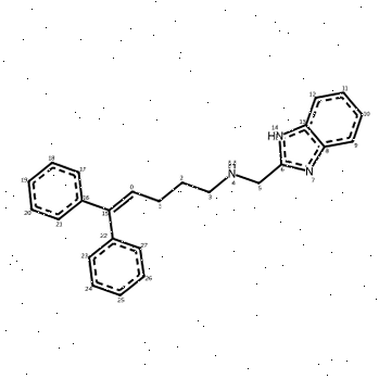 C(CCCNCc1nc2ccccc2[nH]1)=C(c1ccccc1)c1ccccc1